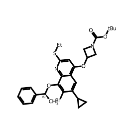 CCSc1cc(OC2CN(C(=O)OC(C)(C)C)C2)c2cc(C3CC3)c(Br)c(O[C@@H](C)c3ccccc3)c2n1